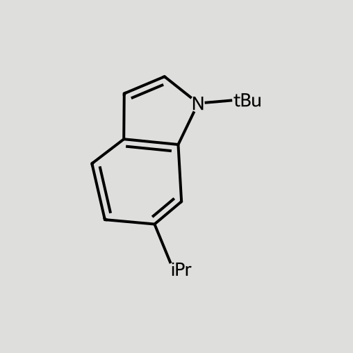 CC(C)c1ccc2ccn(C(C)(C)C)c2c1